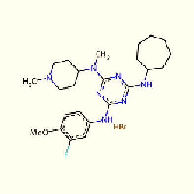 Br.COc1ccc(Nc2nc(NC3CCCCCC3)nc(N(C)C3CCN(C)CC3)n2)cc1F